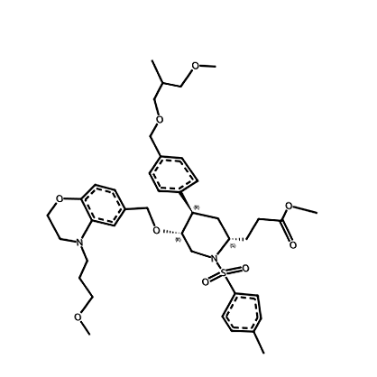 COCCCN1CCOc2ccc(CO[C@H]3CN(S(=O)(=O)c4ccc(C)cc4)[C@@H](CCC(=O)OC)C[C@@H]3c3ccc(COCC(C)COC)cc3)cc21